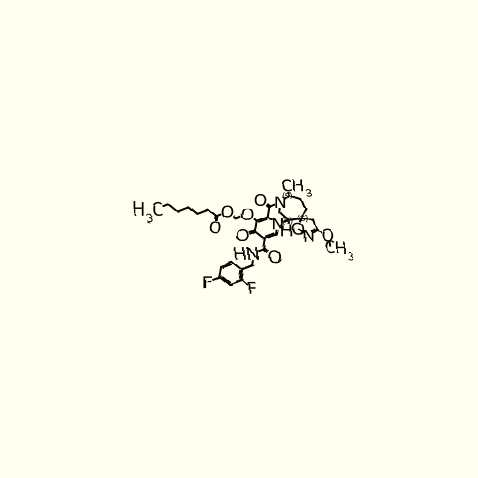 CCCCCCC(=O)OCOc1c2n(cc(C(=O)NCc3ccc(F)cc3F)c1=O)[C@@H]1CN(C2=O)[C@@H](C)CC[C@]12CC(OC)=NO2